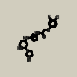 O=C(COc1ccc(Cl)c(F)c1)NC12CC(C1)C(NC1CCNC(N3CCNC3)C1)C2